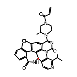 C=CC(=O)N1CCN(c2nc(=O)n(-c3c(C)ccnc3C(C)C)c3c4c(c(Cl)cc23)-c2c(F)cccc2C(=O)NC4)[C@@H](C)C1